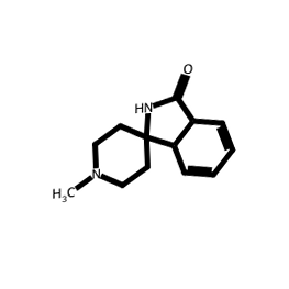 CN1CCC2(CC1)NC(=O)C1C=CC=CC12